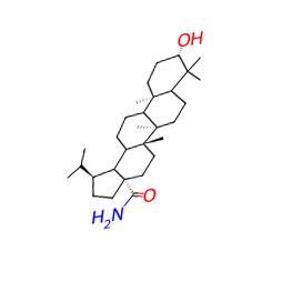 CC(C)[C@@H]1CC[C@]2(C(N)=O)CC[C@]3(C)C(CCC4[C@@]5(C)CC[C@H](O)C(C)(C)C5CC[C@]43C)C12